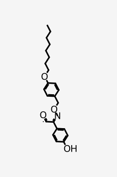 CCCCCCCCOc1ccc(CON=C([C]=O)c2ccc(O)cc2)cc1